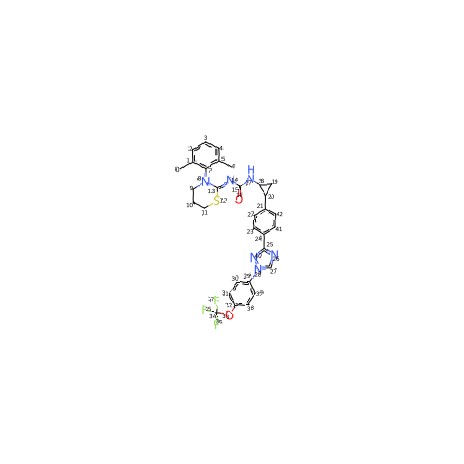 Cc1cccc(C)c1N1CCCS/C1=N\C(=O)NC1CC1c1ccc(-c2ncn(-c3ccc(OC(F)(F)F)cc3)n2)cc1